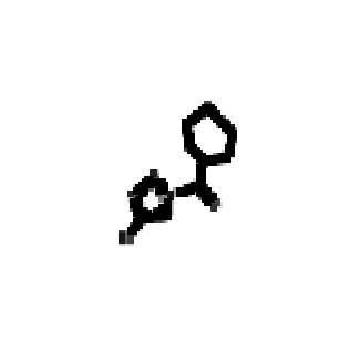 [NH-]c1c[n+](C(=O)C2CCCCC2)no1